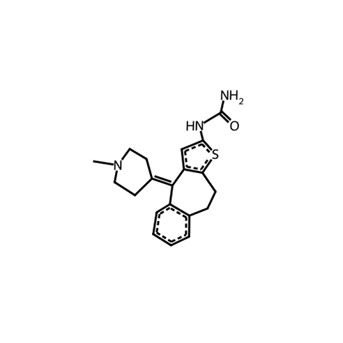 CN1CCC(=C2c3ccccc3CCc3sc(NC(N)=O)cc32)CC1